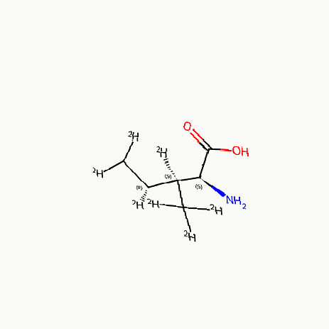 [2H]C([2H])[C@@H]([2H])[C@@]([2H])([C@H](N)C(=O)O)C([2H])([2H])[2H]